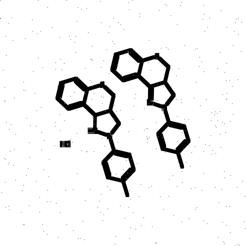 Cc1ccc(N2CC3CSc4ccccc4C3=N2)cc1.Cc1ccc(N2CC3CSc4ccccc4C3N2)cc1.Cl